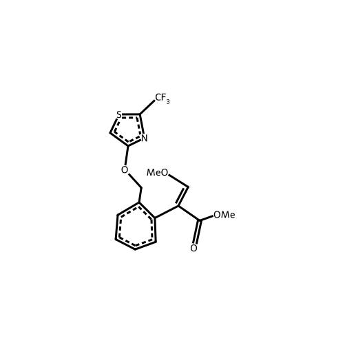 CO/C=C(/C(=O)OC)c1ccccc1COc1csc(C(F)(F)F)n1